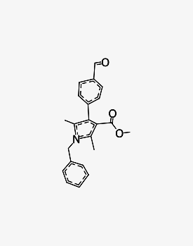 COC(=O)c1c(-c2ccc(C=O)cc2)c(C)n(Cc2ccccc2)c1C